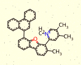 Cc1cc(-c2c(C)ccc3c2oc2c(-c4cc5ccccc5c5ccccc45)cccc23)[n+](C)cc1C